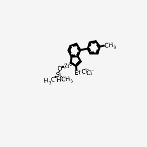 CCC1=Cc2c(-c3ccc(C)cc3)cccc2[CH]1[Zr+2][O][SiH](C)C.[Cl-].[Cl-]